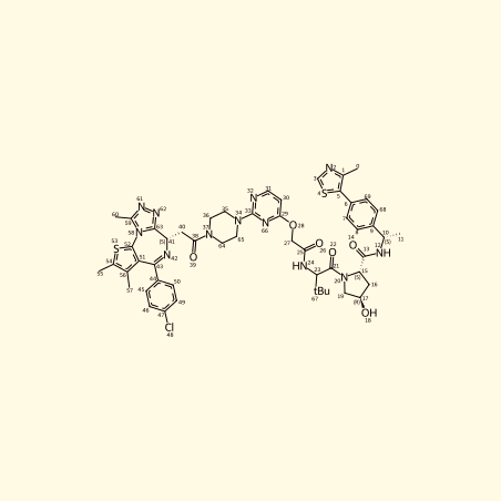 Cc1ncsc1-c1ccc([C@H](C)NC(=O)[C@@H]2C[C@@H](O)CN2C(=O)C(NC(=O)COc2ccnc(N3CCN(C(=O)C[C@@H]4N=C(c5ccc(Cl)cc5)c5c(sc(C)c5C)-n5c(C)nnc54)CC3)n2)C(C)(C)C)cc1